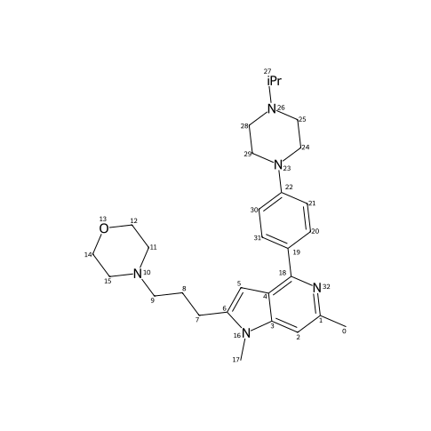 Cc1cc2c(cc(CCCN3CCOCC3)n2C)c(-c2ccc(N3CCN(C(C)C)CC3)cc2)n1